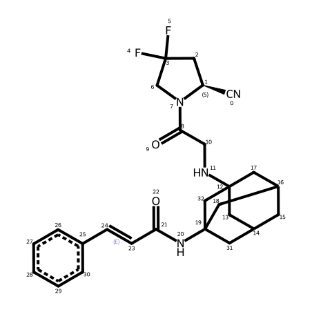 N#C[C@@H]1CC(F)(F)CN1C(=O)CNC12CC3CC(C1)CC(NC(=O)/C=C/c1ccccc1)(C3)C2